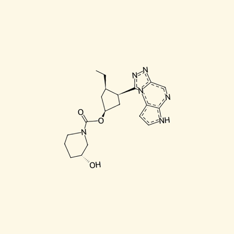 CC[C@@H]1C[C@H](OC(=O)N2CCC[C@@H](O)C2)C[C@@H]1c1nnc2cnc3[nH]ccc3n12